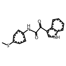 CSc1ccc(NC(=O)C(=O)c2c[nH]c3ccccc23)cc1